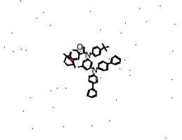 C=C1/C(=C\c2c(N(c3ccc(C(C)(C)C)cc3)c3cc(C)cc(N(c4ccc(-c5ccccc5)cc4)c4ccc(-c5ccccc5)cc4)c3)coc2C)C2(C)CCC1(C)CC2